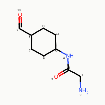 NCC(=O)NC1CCC(C=O)CC1